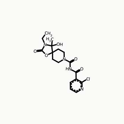 CCN1C(=O)OC2(CCN(C(=O)NC(=O)c3cccnc3Cl)CC2)C1(C)O